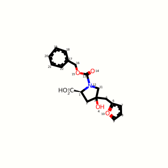 O=C(O)[C@@H]1CC(O)(Cc2ccco2)CN1C(=O)OCc1ccccc1